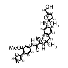 COc1cc(NC(=O)C(=O)NC(C)(C)Cc2ccc(NC3(C)CC=C(CO)O3)cc2)ccc1-c1cnco1